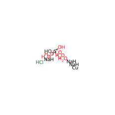 Cl.O.O.O.O.O.O=S(=O)(O)O.[Cu].[NaH].[NaH].[NaH]